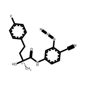 C[C@](O)(CCc1ccc(F)cc1)C(=O)Nc1ccc(C#N)c(N=[N+]=[N-])c1